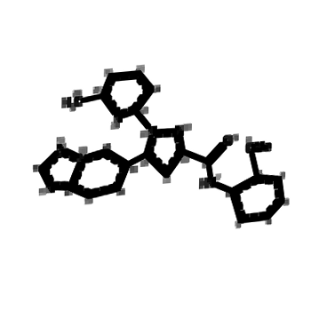 COc1ccccc1NC(=O)c1cc(-c2ccc3ncnn3c2)n(-c2cccc(C)n2)n1